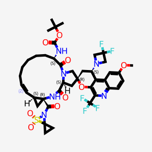 COc1ccc2nc(C(F)(F)F)c3c(c2c1)[C@@H](N1CC(F)(F)C1)C[C@]1(C[C@H]2C(=O)N[C@]4(C(=O)N5C6(CC6)S5(=O)=O)C[C@H]4/C=C\CCCCC[C@H](NC(=O)OC(C)(C)C)C(=O)N2C1)O3